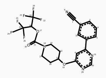 N#Cc1cccc(-c2cc(OC3CCN(C(=O)OC(C(F)(F)F)C(F)(F)F)CC3)ncn2)c1